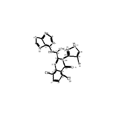 C[C@H](Nc1ncnc2scnc12)c1nc2c(Cl)ccc(Cl)c2c(=O)n1-c1n[nH]cc1Br